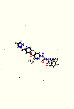 COC1(C(=O)NC(=O)Nc2ccc(Oc3ccnc(Cn4cccn4)c3)c(C)n2)CCCC1